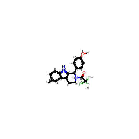 COc1ccc(C2c3[nH]c4ccc(C)cc4c3CCN2C(=O)C(F)(F)F)cc1